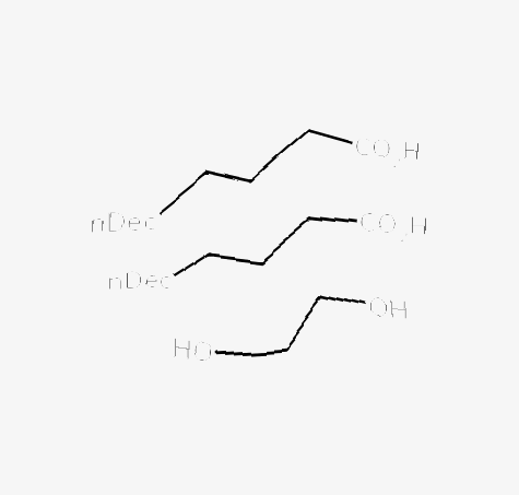 CCCCCCCCCCCCCC(=O)O.CCCCCCCCCCCCCC(=O)O.OCCO